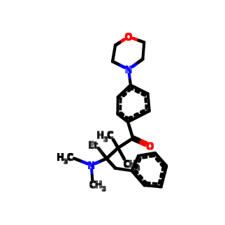 CCC(Cc1ccccc1)(N(C)C)C(C)(C)C(=O)c1ccc(N2CCOCC2)cc1